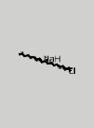 CCCCCCCCCCCCCCCCCCCl.[NaH]